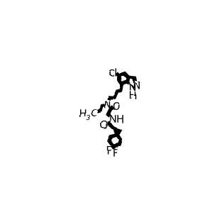 CCCN(CCCCc1cc(Cl)cc2cn[nH]c12)C(=O)CNC(=O)C1CC12CCC(F)(F)CC2